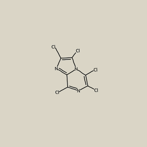 Clc1nc(Cl)c2nc(Cl)c(Cl)n2c1Cl